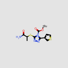 CC(Sc1nnc(-c2ccsc2)n1C(=O)OC(C)(C)C)C(N)=O